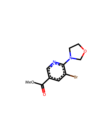 COC(=O)c1cnc(N2CCOC2)c(Br)c1